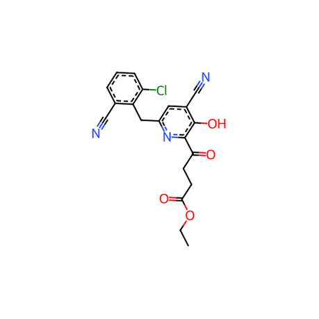 CCOC(=O)CCC(=O)c1nc(Cc2c(Cl)cccc2C#N)cc(C#N)c1O